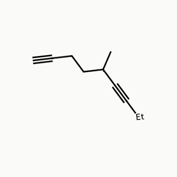 C#CCC[C](C)C#CCC